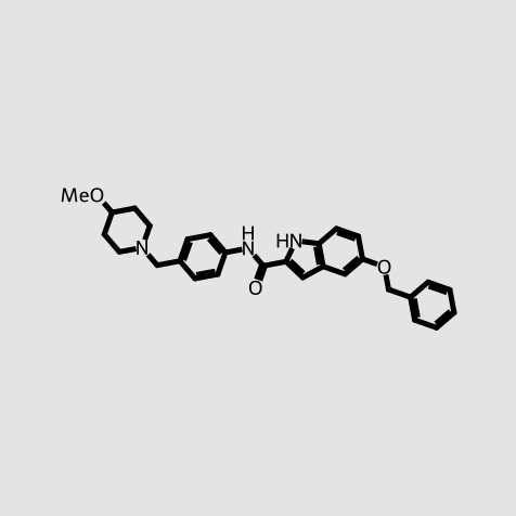 COC1CCN(Cc2ccc(NC(=O)c3cc4cc(OCc5ccccc5)ccc4[nH]3)cc2)CC1